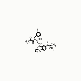 CC(=O)N[C@@H](Cc1cccc(F)c1)[C@H](O)CN[C@H]1CC2(CCC2)Oc2ncc([C@@H](F)C(C)C)cc21